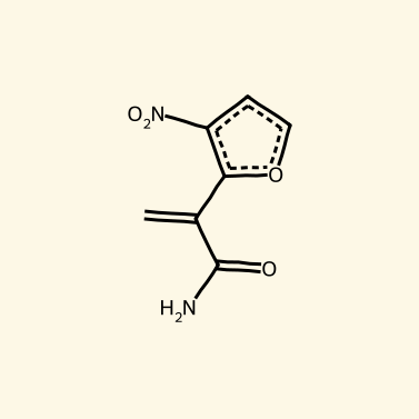 C=C(C(N)=O)c1occc1[N+](=O)[O-]